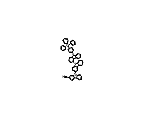 N#Cc1ccc2c3ccccc3n(-c3ccc4c(c3)c3ccccc3n4-c3cccc4c3c3ccccc3n4-c3ccc([Si](c4ccccc4)(c4ccccc4)c4ccccc4)cc3)c2c1